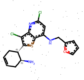 N[C@H]1CC=CC[C@@H]1c1sc2c(NCc3ccco3)cc(Cl)nc2c1Cl